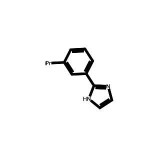 CC(C)c1cccc(-c2ncc[nH]2)c1